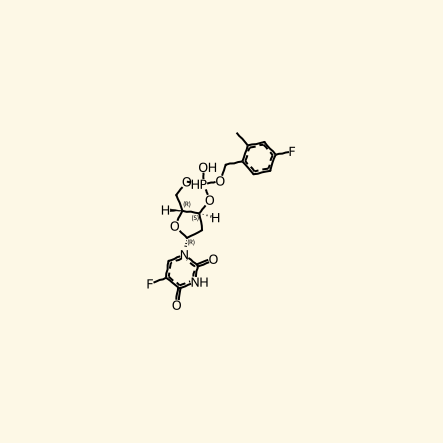 Cc1cc(F)ccc1CO[PH]1(O)OC[C@H]2O[C@@H](n3cc(F)c(=O)[nH]c3=O)C[C@@H]2O1